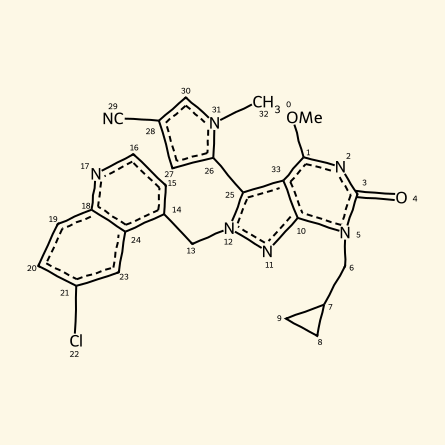 COc1nc(=O)n(CC2CC2)c2nn(Cc3ccnc4ccc(Cl)cc34)c(-c3cc(C#N)cn3C)c12